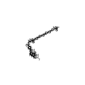 CNC(=O)CCOCCOCCOCCOCCOCCOCCNC(=O)CC[C@@H](C)CCC(=O)c1ccc(NCc2cnc3nc(N)[nH]c(=O)c3n2)cc1